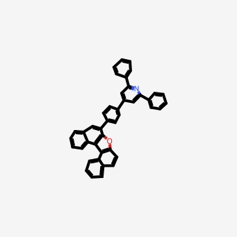 c1ccc(-c2cc(-c3ccc(-c4cc5ccccc5c5c4oc4ccc6ccccc6c45)cc3)cc(-c3ccccc3)n2)cc1